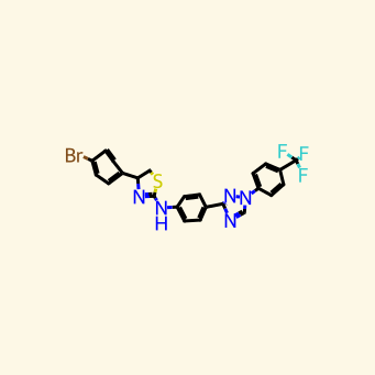 FC(F)(F)c1ccc(-n2cnc(-c3ccc(NC4=NC(c5ccc(Br)cc5)CS4)cc3)n2)cc1